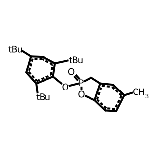 Cc1ccc2c(c1)CP(=O)(Oc1c(C(C)(C)C)cc(C(C)(C)C)cc1C(C)(C)C)O2